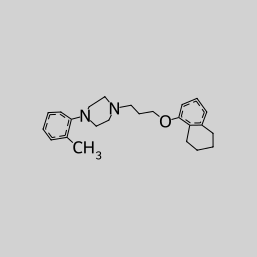 Cc1ccccc1N1CCN(CCCOc2cccc3c2CCCC3)CC1